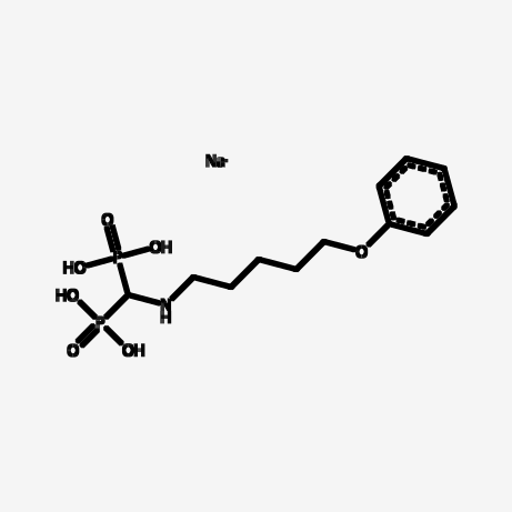 O=P(O)(O)C(NCCCCCOc1ccccc1)P(=O)(O)O.[Na]